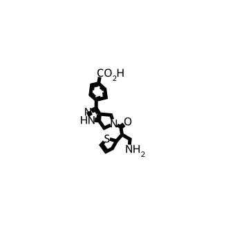 NCC(C(=O)N1Cc2[nH]nc(-c3ccc(C(=O)O)cc3)c2C1)C1CC=CS1